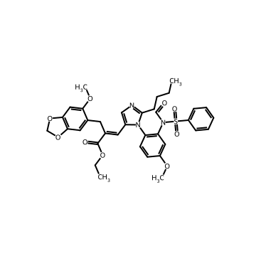 CCCCc1ncc(/C=C(\Cc2cc3c(cc2OC)OCO3)C(=O)OCC)n1-c1ccc(OC)cc1N(C=O)S(=O)(=O)c1ccccc1